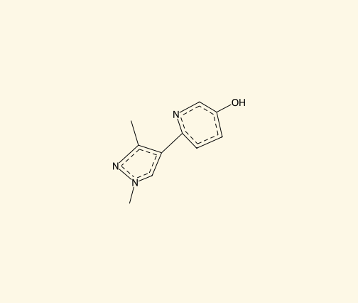 Cc1nn(C)cc1-c1ccc(O)cn1